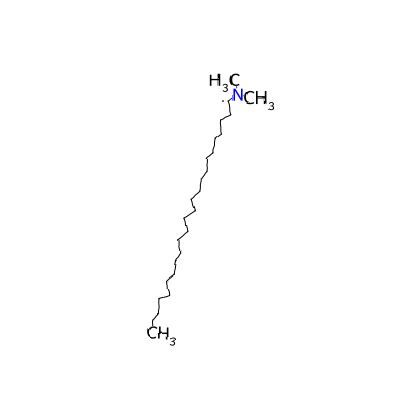 CCCCCCCCCCCCCCCCCCCCCCC[CH]N(C)C